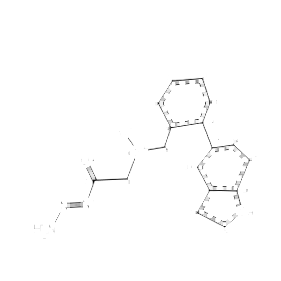 NN=NC(=O)C[S+]([O-])Cc1ccccc1-c1ccc2sccc2c1